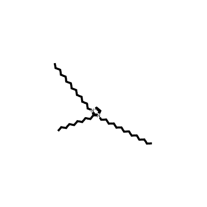 CCCCCCCCCCCCCCn1cc[n+](CCCCCCCCCCCCCC)c1CCCCCCCCC